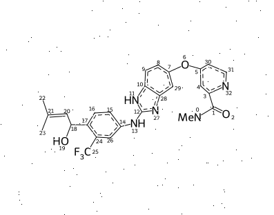 CNC(=O)c1cc(Oc2ccc3[nH]c(Nc4ccc(C(O)C=C(C)C)c(C(F)(F)F)c4)nc3c2)ccn1